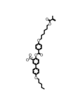 C=C(C)C(=O)OCCCCCCOc1ccc(C(=O)Oc2ccc(-c3ccc(OCCCCC)cc3)cc2[N+](=O)[O-])cc1